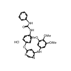 COc1cc(Nc2cc(Oc3ccc(NC(=O)Nc4ccccc4)cc3)ncn2)cc(OC)c1OC.Cl